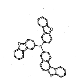 c1ccc2c(c1)oc1ccc(N(c3ccc4c(ccc5sc6ccccc6c54)c3)c3ccc4oc5ccccc5c4c3)cc12